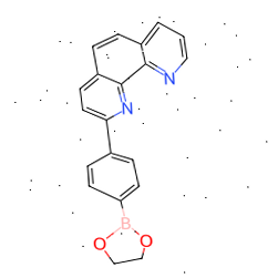 c1cnc2c(c1)ccc1ccc(-c3ccc(B4OCCO4)cc3)nc12